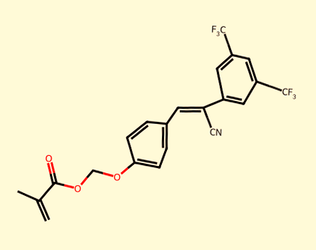 C=C(C)C(=O)OCOc1ccc(/C=C(\C#N)c2cc(C(F)(F)F)cc(C(F)(F)F)c2)cc1